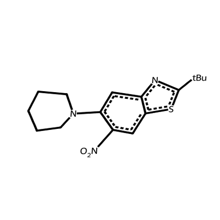 CC(C)(C)c1nc2cc(N3CCCCC3)c([N+](=O)[O-])cc2s1